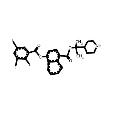 CC(C)(OC(=O)c1ccc(OC(=O)c2cc(I)cc(I)c2I)c2ccccc12)C1CCNCC1